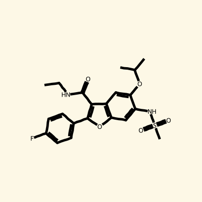 CCNC(=O)c1c(-c2ccc(F)cc2)oc2cc(NS(C)(=O)=O)c(OC(C)C)cc12